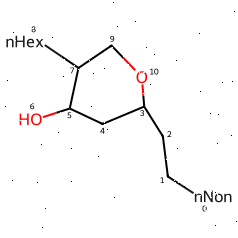 CCCCCCCCCCCC1CC(O)C(CCCCCC)CO1